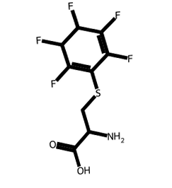 NC(CSC1=C(F)C(F)C(F)C(F)=C1F)C(=O)O